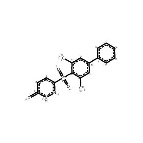 O=c1ccc(S(=O)(=O)c2c(C(F)(F)F)cc(-c3ccccc3)cc2C(F)(F)F)n[nH]1